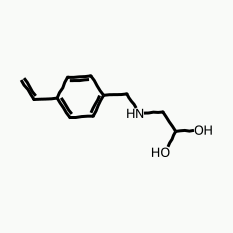 C=Cc1ccc(CNCC(O)O)cc1